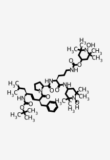 CC(C)C[C@@H](/C=C/[C@H](Cc1ccccc1)C(=O)N1CCC[C@H]1C(=O)N[C@@H](CCCNC(=O)OC1CC(C)(C)N(O)C(C)(C)C1)C(=O)NC1CC(C)(C)N(O)C(C)(C)C1)NC(=O)OC(C)(C)C